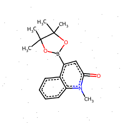 Cn1c(=O)cc(B2OC(C)(C)C(C)(C)O2)c2ccccc21